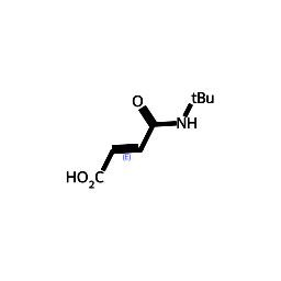 CC(C)(C)NC(=O)/C=C/C(=O)O